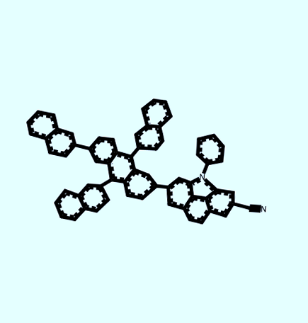 N#Cc1cc2ccc3cc(-c4ccc5c(-c6ccc7ccccc7c6)c6cc(-c7ccc8ccccc8c7)ccc6c(-c6ccc7ccccc7c6)c5c4)cc4c3c2c(c1)n4-c1ccccc1